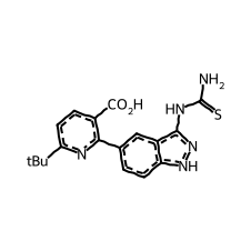 CC(C)(C)c1ccc(C(=O)O)c(-c2ccc3[nH]nc(NC(N)=S)c3c2)n1